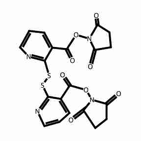 O=C(ON1C(=O)CCC1=O)c1cccnc1SSc1ncccc1C(=O)ON1C(=O)CCC1=O